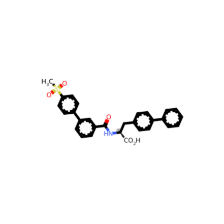 CS(=O)(=O)c1ccc(-c2cccc(C(=O)N[C@@H](Cc3ccc(-c4ccccc4)cc3)C(=O)O)c2)cc1